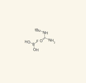 CC(C)(C)NC(N)=O.OB(O)F